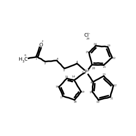 CC(=O)CCCC[P+](c1ccccc1)(c1ccccc1)c1ccccc1.[Cl-]